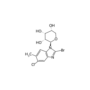 Cc1cc2c(cc1Cl)nc(Br)n2[C@@H]1OC[C@@H](O)[C@@H](O)[C@H]1O